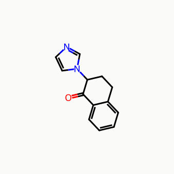 O=C1c2ccccc2CCC1n1ccnc1